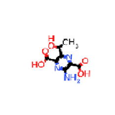 CC(O)c1nc(C(=O)O)c(N)nc1C(=O)O